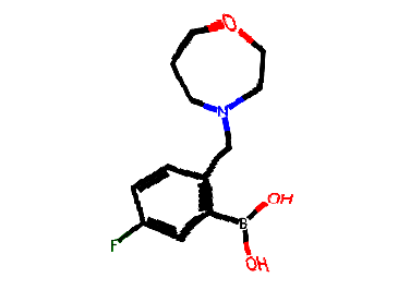 OB(O)c1cc(F)ccc1CN1CCCOCC1